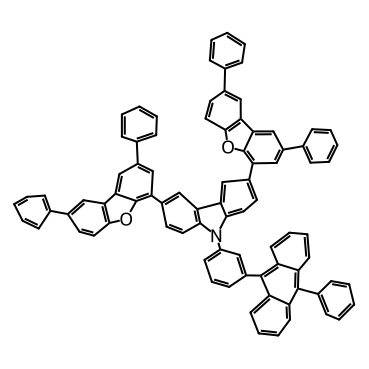 c1ccc(-c2ccc3oc4c(-c5ccc6c(c5)c5cc(-c7cc(-c8ccccc8)cc8c7oc7ccc(-c9ccccc9)cc78)ccc5n6-c5cccc(-c6c7ccccc7c(-c7ccccc7)c7ccccc67)c5)cc(-c5ccccc5)cc4c3c2)cc1